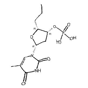 CCC[C@H]1O[C@@H](n2cc(C)c(=O)[nH]c2=O)C[C@H]1OP(=O)(O)O